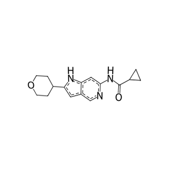 O=C(Nc1cc2[nH]c(C3CCOCC3)cc2cn1)C1CC1